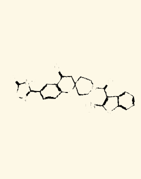 Nc1sc2ccccc2c1C(=O)N1CCC2(CC1)CC(=O)c1cc(-c3noc(=O)[nH]3)ccc1S2